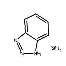 [SiH4].c1ccc2[nH]nnc2c1